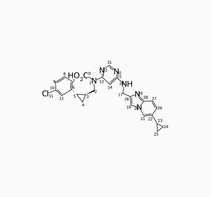 O=C(O)N(C[C@H]1C[C@@H]1c1cccc(Cl)c1)c1cc(NCc2cn3cc(C4CC4)ccc3n2)ncn1